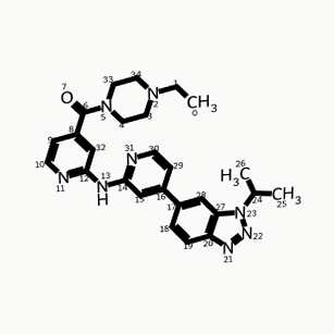 CCN1CCN(C(=O)c2ccnc(Nc3cc(-c4ccc5nnn(C(C)C)c5c4)ccn3)c2)CC1